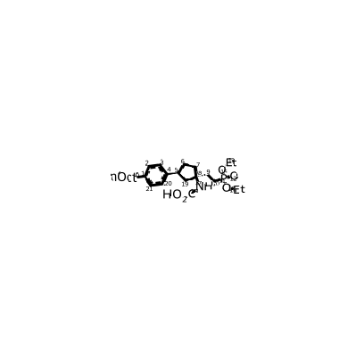 CCCCCCCCc1ccc([C@H]2CC[C@@](CCP(=O)(OCC)OCC)(NC(=O)O)C2)cc1